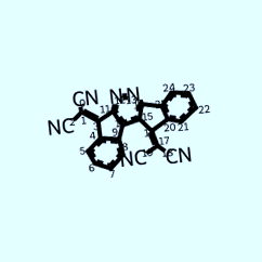 N#CC(C#N)=C1c2ccccc2-c2c1nnc1c2C(=C(C#N)C#N)c2ccccc2-1